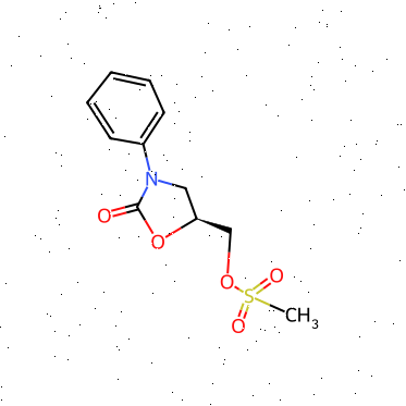 CS(=O)(=O)OC[C@@H]1CN(c2ccccc2)C(=O)O1